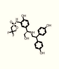 O=S(=O)(CC(F)(F)F)Nc1cc([C@H](CO)NCC(c2ccc(O)cc2)c2ccc(O)cc2)ccc1O